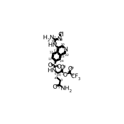 NC(=O)CC[C@H](NS(=O)(=O)c1ccc2c(NC(N)=NCl)cncc2c1)C(=O)OC(=O)C(F)(F)F